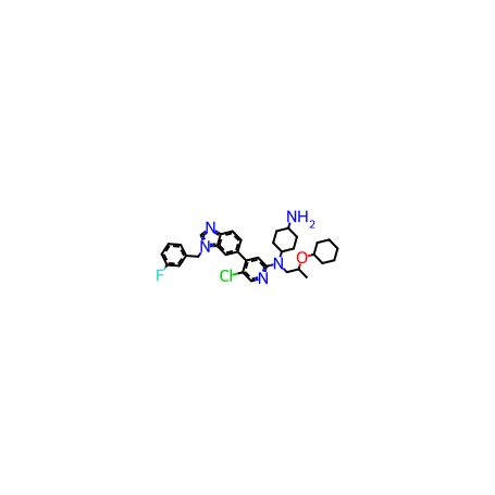 CC(CN(c1cc(-c2ccc3ncn(Cc4cccc(F)c4)c3c2)c(Cl)cn1)C1CCC(N)CC1)OC1CCCCC1